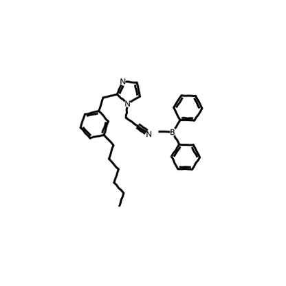 CB(c1ccccc1)c1ccccc1.CCCCCCc1cccc(Cc2nccn2CC#N)c1